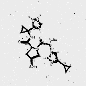 CC(C)(C)[C@@H](C(=O)N1CC(O)CC1C(=O)NC1(c2ncon2)CC1)n1cc(C2CC2)nn1